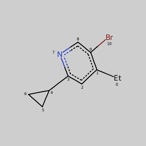 CCc1cc(C2CC2)ncc1Br